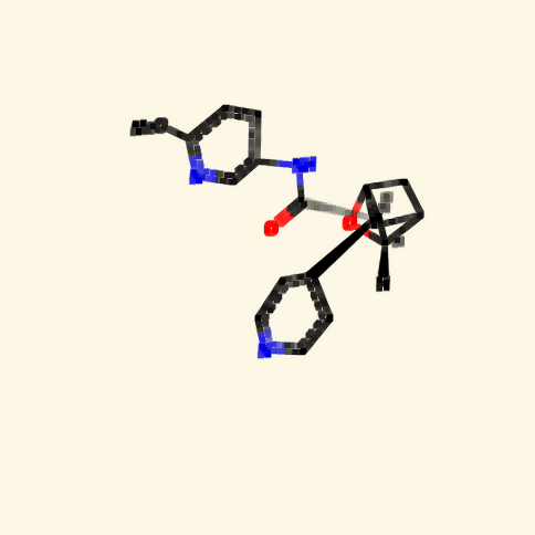 COc1ccc(NC(=O)[C@H]2[C@@H](c3ccncc3)[C@H]3OC24CC3C4)cn1